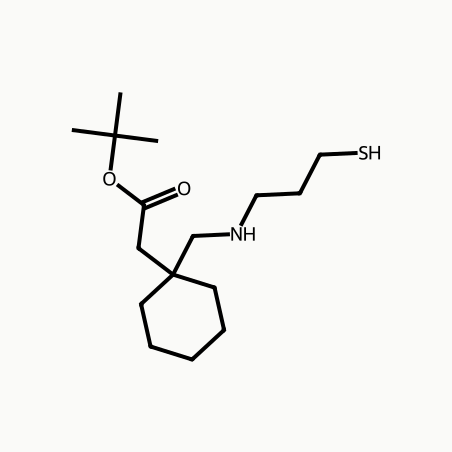 CC(C)(C)OC(=O)CC1(CNCCCS)CCCCC1